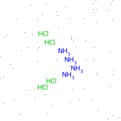 Cl.Cl.Cl.Cl.N.N.N.N